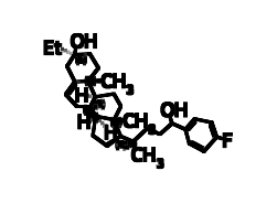 CC[C@]1(O)CC[C@@]2(C)C(=CC[C@H]3[C@@H]4CC[C@H]([C@H](C)CCC(O)c5ccc(F)cc5)[C@@]4(C)CC[C@@H]32)C1